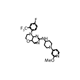 COc1cc(N2CCC(NC3=NC4C(C=N3)OCCN4c3ccc(F)cc3C(F)(F)F)CC2)ccn1